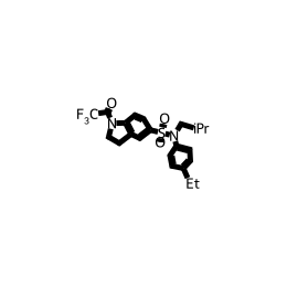 CCc1ccc(N(CC(C)C)S(=O)(=O)c2ccc3c(c2)CCN3C(=O)C(F)(F)F)cc1